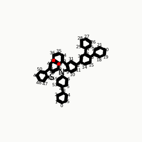 c1ccc(-c2ccc(N(c3ccc(-c4ccc(-c5ccccc5)c(-c5ccccc5)c4)cc3-c3ccccc3)c3cccc4c3sc3ccccc34)cc2)cc1